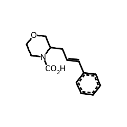 O=C(O)N1CCOCC1CC=Cc1ccccc1